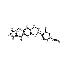 Cc1cc(C#N)nnc1N1CCc2ncc(Nc3ccnn3C)cc2C1